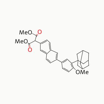 COC(=O)C(C(=O)OC)c1ccc2cc(-c3ccc(OC)c(C45CC6CC(CC(C6)C4)C5)c3)ccc2c1